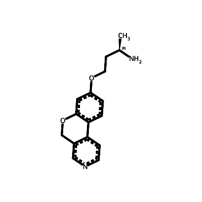 C[C@@H](N)CCOc1ccc2c(c1)OCc1cnccc1-2